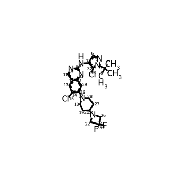 CC(C)(C)n1ncc(Nc2ncc3cc(Cl)c(N4CCC(N5CC(F)(F)C5)CC4)cc3n2)c1Cl